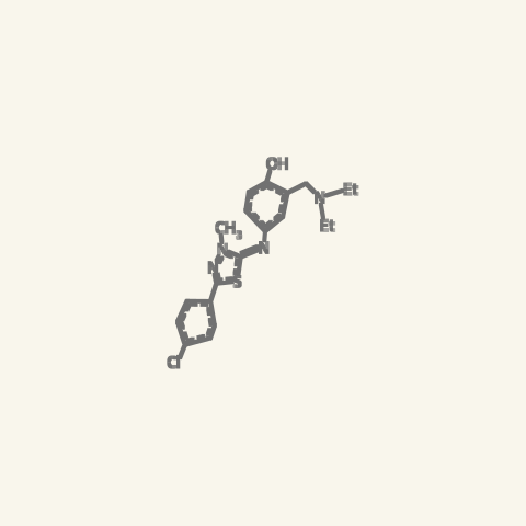 CCN(CC)Cc1cc(N=c2sc(-c3ccc(Cl)cc3)nn2C)ccc1O